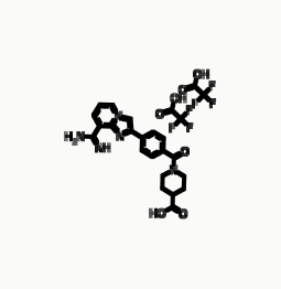 N=C(N)c1cccn2cc(-c3ccc(C(=O)N4CCC(C(=O)O)CC4)cc3)nc12.O=C(O)C(F)(F)F.O=C(O)C(F)(F)F